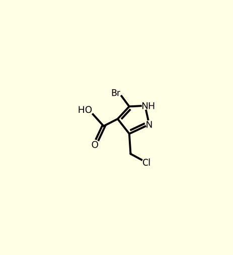 O=C(O)c1c(CCl)n[nH]c1Br